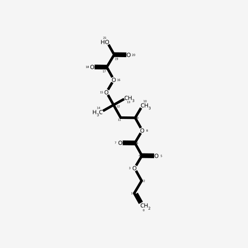 C=CCOC(=O)C(=O)OC(C)CC(C)(C)OOC(=O)C(=O)O